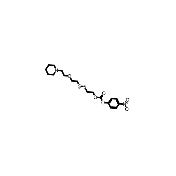 O=C(OCCSSCCOCCN1CCCCC1)Oc1ccc([N+](=O)[O-])cc1